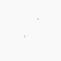 COc1ccccc1OCCNC(CCCCNC(=O)c1ccccc1O)CC(C)(C)C